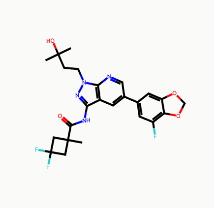 CC(C)(O)CCn1nc(NC(=O)C2(C)CC(F)(F)C2)c2cc(-c3cc(F)c4c(c3)OCO4)cnc21